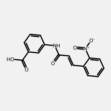 O=C(C=Cc1ccccc1[N+](=O)[O-])Nc1cccc(C(=O)O)c1